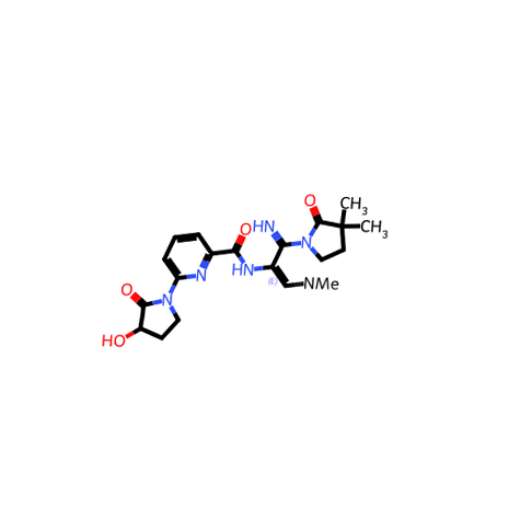 CN/C=C(/NC(=O)c1cccc(N2CCC(O)C2=O)n1)C(=N)N1CCC(C)(C)C1=O